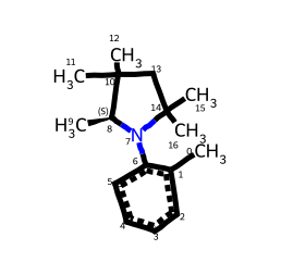 Cc1ccccc1N1[C@@H](C)C(C)(C)CC1(C)C